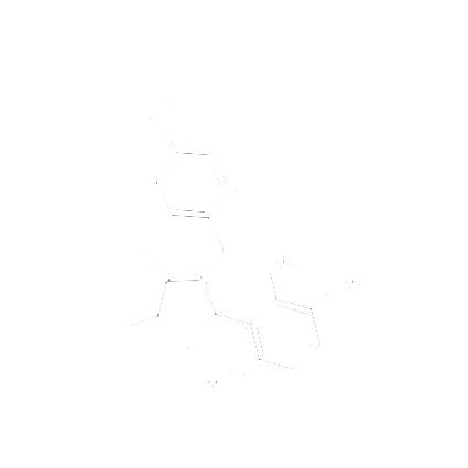 COc1ccc(OC)c(C2SC(C)C(=O)N2Cc2ccc(OC(F)(F)F)cc2)c1OC